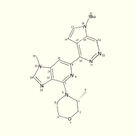 C[C@@H]1COCCN1c1nc(-c2nncc3c2ccn3C(C)(C)C)cc2c1ncn2C